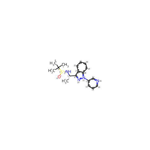 C[C@H](N[S+]([O-])C(C)(C)C)c1nn(-c2cccnc2)c2ccccc12